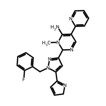 CN1C(N)=C(c2ccccn2)C=NC1c1cc(C2=NCC=C2)n(Cc2ccccc2F)n1